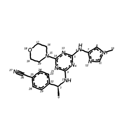 C[C@H](Nc1nc(Nc2cn(C)cn2)nc(N2CCOCC2)n1)c1ccc(C#N)cc1